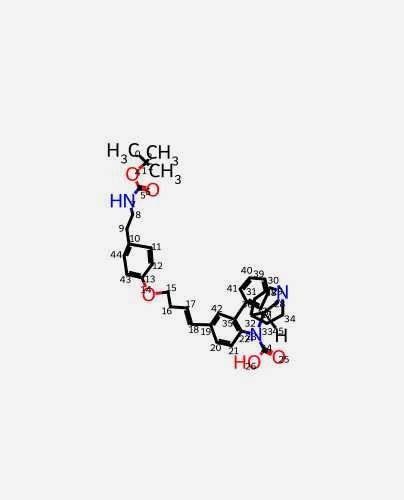 CC(C)(C)OC(=O)NCCc1ccc(OCCC=Cc2ccc(N(C(=O)O)[C@H]3CN4CCC3CC4)c(-c3ccccc3)c2)cc1